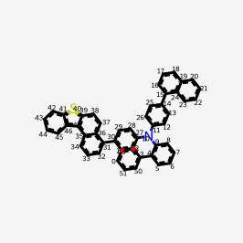 c1ccc(-c2ccccc2N(c2ccc(-c3cccc4ccccc34)cc2)c2ccc(-c3cccc4c3ccc3sc5ccccc5c34)cc2)cc1